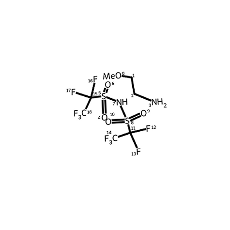 COCCN.O=S(=O)(NS(=O)(=O)C(F)(F)C(F)(F)F)C(F)(F)C(F)(F)F